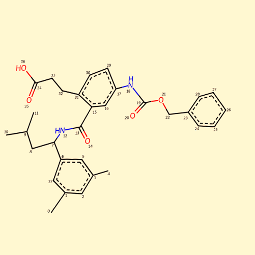 Cc1cc(C)cc(C(CC(C)C)NC(=O)c2cc(NC(=O)OCc3ccccc3)ccc2CCC(=O)O)c1